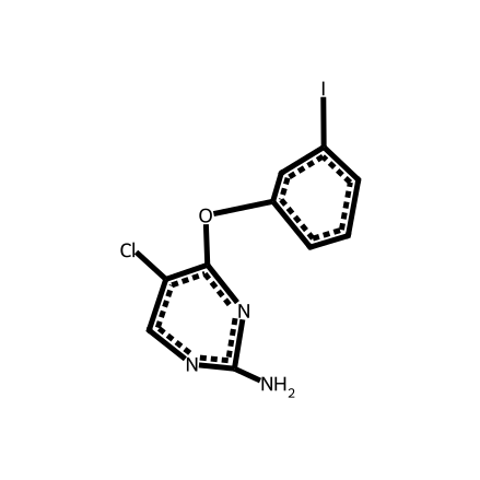 Nc1ncc(Cl)c(Oc2cccc(I)c2)n1